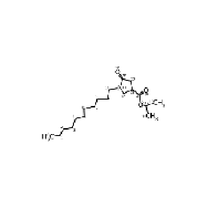 CCCCCCCCCCCN1CC(C(=O)OC(C)C)CC1=O